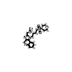 CCOCc1nc2cnc3ccccc3c2n1CCCCS(=O)(=O)N1CCOCC1